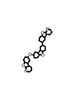 c1cnc2oc3ccc(Oc4ccc5oc6ccc(-c7ccc8oc9ncccc9c8c7)cc6c5c4)cc3c2c1